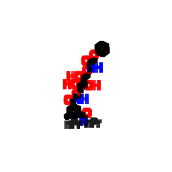 CCCN(CCC)C(=O)c1cc(C)cc(C(=O)NOC[C@H](O)[C@H](O)C(O)CONC(=O)COc2ccccc2)c1